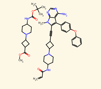 C=CC(=O)NC1CCN(C2CC(C#Cc3c(-c4ccc(Oc5ccccc5)cc4)c4c(N)ncnc4n3C)C2)CC1.COC(=O)C1CC(N2CCC(NC(=O)OC(C)(C)C)CC2)C1